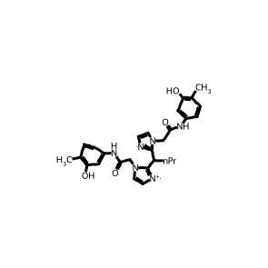 CCCC(C1=[N+]C=CN1CC(=O)Nc1ccc(C)c(O)c1)C1=[N+]C=CN1CC(=O)Nc1ccc(C)c(O)c1